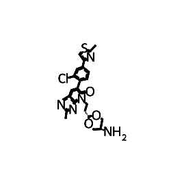 Cc1ncc2cc(-c3ccc(-c4csc(C)n4)cc3Cl)c(=O)n(CC[C@H]3OC[C@H](N)CO3)c2n1